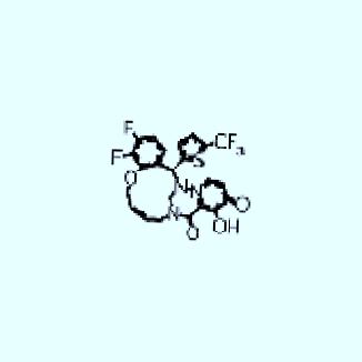 O=C1c2c(O)c(=O)ccn2N2CN1C/C=C\COc1c(ccc(F)c1F)[C@H]2c1ccc(C(F)(F)F)s1